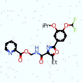 CCc1oc(-c2ccc(OC(F)F)c(OC(C)C)c2)nc1C(=O)NCOC(=O)c1ccccn1